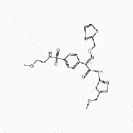 COCCNS(=O)(=O)c1ccc(/C(=N\OCc2nccs2)C(=O)Nc2ncc(COC)s2)cc1